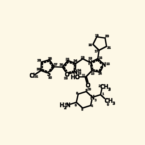 CC(C)N1CCC(N)CC1.O=C(O)c1cnc(C2CCCC2)n1Cc1cc(-c2ccc(Cl)s2)on1